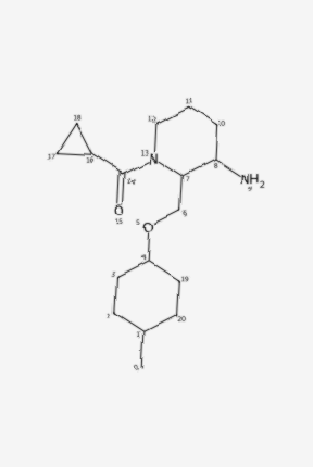 CC1CCC(OCC2C(N)CCCN2C(=O)C2CC2)CC1